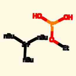 CCC[CH2][Sn]([CH2]CCC)[CH2]CCC.CCOP(O)O